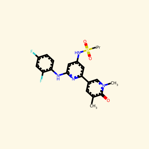 Cc1cc(-c2cc(NS(=O)(=O)C(C)C)cc(Nc3ccc(F)cc3F)n2)cn(C)c1=O